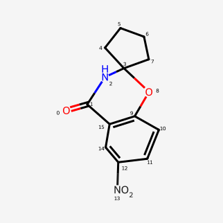 O=C1NC2(CCCC2)Oc2ccc([N+](=O)[O-])cc21